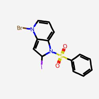 O=S(=O)(c1ccccc1)N1C2=CC=CN(Br)C2=CC1I